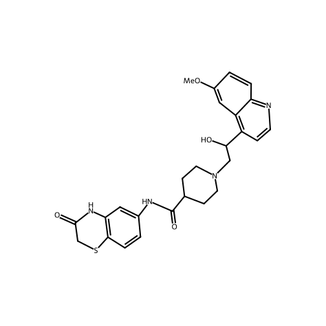 COc1ccc2nccc(C(O)CN3CCC(C(=O)Nc4ccc5c(c4)NC(=O)CS5)CC3)c2c1